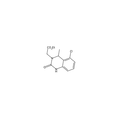 CCOC(=O)CN1C(=O)Nc2cccc(Cl)c2C1C